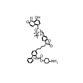 CC(C)(C)[Si](C)(C)O[C@@H](CNCc1ccc2c(c1)oc(=O)n2CCCCc1ccc(-c2ccccc2)c(NC(=O)OC2CCC(N)CC2)c1)c1ccc(O)c2[nH]c(=O)ccc12